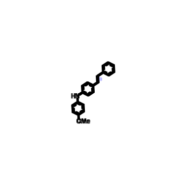 COc1ccc(Nc2ccc(/C=C/c3ccccc3)cc2)cc1